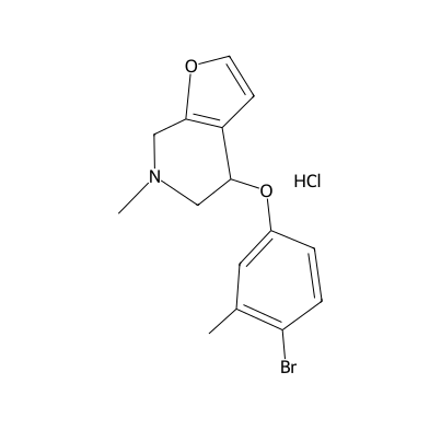 Cc1cc(OC2CN(C)Cc3occc32)ccc1Br.Cl